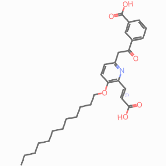 CCCCCCCCCCCCOc1ccc(CC(=O)c2cccc(C(=O)O)c2)nc1/C=C/C(=O)O